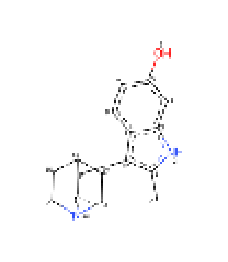 Cc1[nH]c2cc(O)ccc2c1C1CN2CCC1CC2